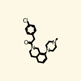 CN1CCN(C2=C3CN(C(=O)Cc4ccc(Cl)cc4)CCC3CC=C2)CC1